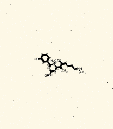 C=C(/C(Cl)=C\C=C\CNC)C1N=C(N=O)N=C(c2cccc(F)c2)N1C